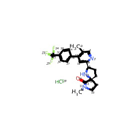 Cc1cnc([C@H]2CC[C@]3(CCN(C)C3=O)N2)cc1-c1ccc(C(F)(F)F)cc1.Cl